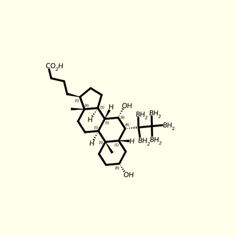 BC(B)(B)C(B)(B)[C@H]1[C@@H](O)[C@@H]2[C@H](CC[C@]3(C)[C@@H](CCCC(=O)O)CC[C@@H]23)[C@@]2(C)CC[C@@H](O)C[C@@H]12